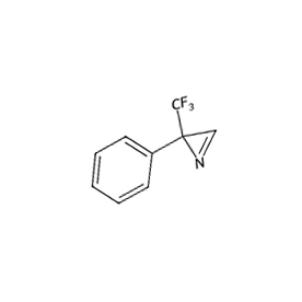 FC(F)(F)C1(c2ccccc2)C=N1